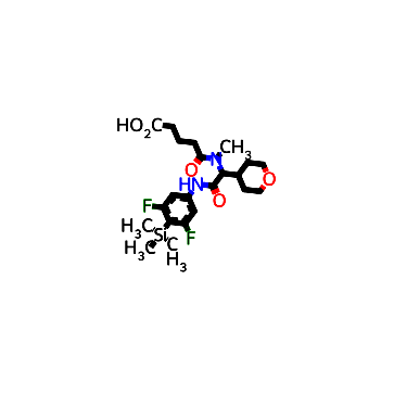 CN(C(=O)CCCC(=O)O)C(C(=O)Nc1cc(F)c([Si](C)(C)C)c(F)c1)C1CCOCC1